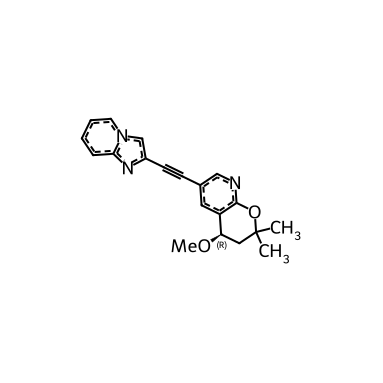 CO[C@@H]1CC(C)(C)Oc2ncc(C#Cc3cn4ccccc4n3)cc21